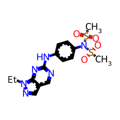 CCn1ncc2cnc(Nc3ccc(N(S(C)(=O)=O)S(C)(=O)=O)cc3)nc21